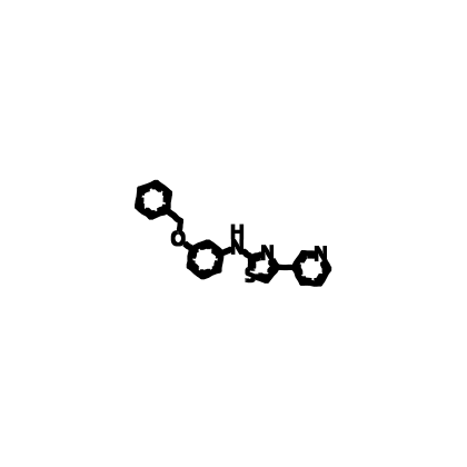 c1ccc(COc2cccc(Nc3nc(-c4cccnc4)cs3)c2)cc1